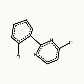 Clc1ccnc(-c2ccccc2Cl)n1